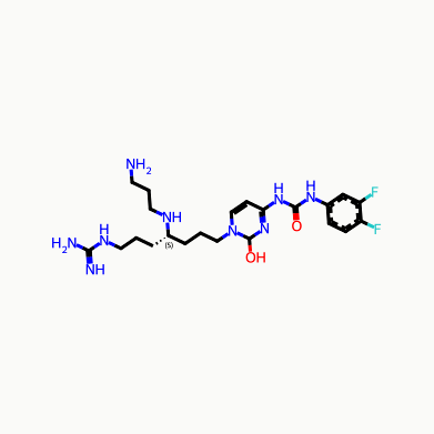 N=C(N)NCCC[C@@H](CCCN1C=CC(NC(=O)Nc2ccc(F)c(F)c2)=NC1O)NCCCN